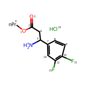 CCCOC(=O)CC(N)c1ccc(F)c(F)c1.Cl